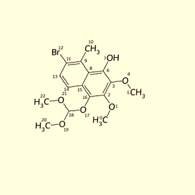 COc1c(OC)c(O)c2c(C)c(Br)ccc2c1OC(OC)OC